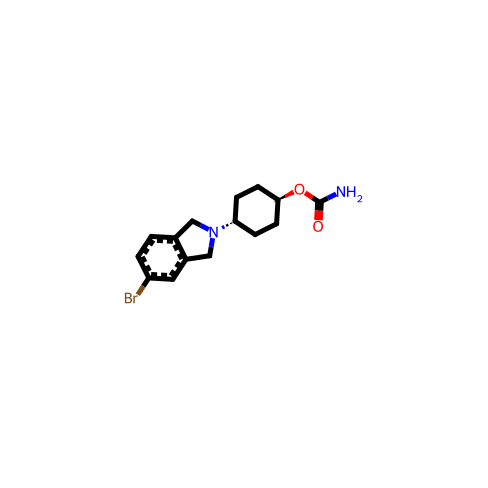 NC(=O)O[C@H]1CC[C@H](N2Cc3ccc(Br)cc3C2)CC1